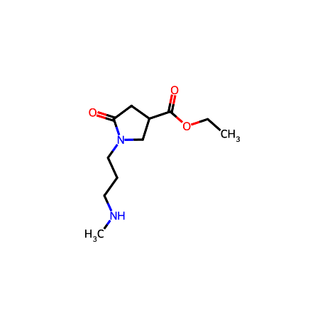 CCOC(=O)C1CC(=O)N(CCCNC)C1